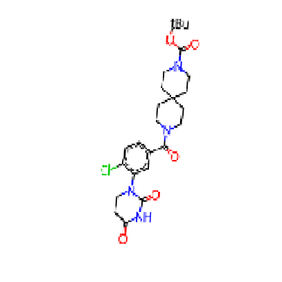 CC(C)(C)OC(=O)N1CCC2(CC1)CCN(C(=O)c1ccc(Cl)c(N3CCC(=O)NC3=O)c1)CC2